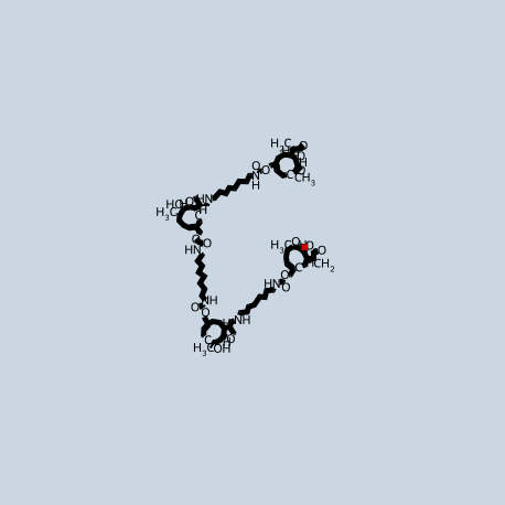 C=C1C(=O)O[C@H]2[C@H]1CC/C(COC(=O)NCCCCCCCCNCC1CO[C@@H]3C[C@](C)(O)CC/C=C(/COC(=O)NCCCCCCCCNC(=O)OC/C4=C/CC[C@H](C)[C@@H](O)[C@H]5OC[C@@H](CNCCCCCCCCNC(=O)OC/C6=C/CC[C@@]7(C)O[C@H]7[C@H]7OC(=O)C(=C)[C@@H]7CC6)[C@@H]5CC4)CC[C@@H]13)=C\CC[C@@]1(C)O[C@@H]21